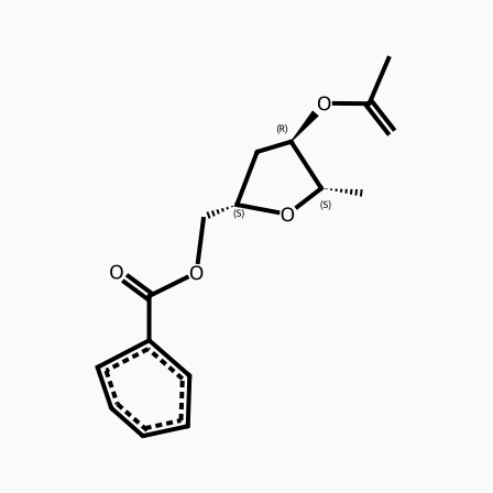 C=C(C)O[C@@H]1C[C@@H](COC(=O)c2ccccc2)O[C@H]1C